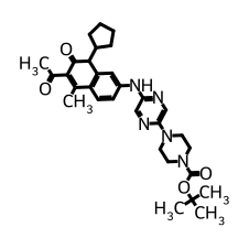 CC(=O)C1=C(C)c2ccc(Nc3cnc(N4CCN(C(=O)OC(C)(C)C)CC4)cn3)cc2C(C2CCCC2)C1=O